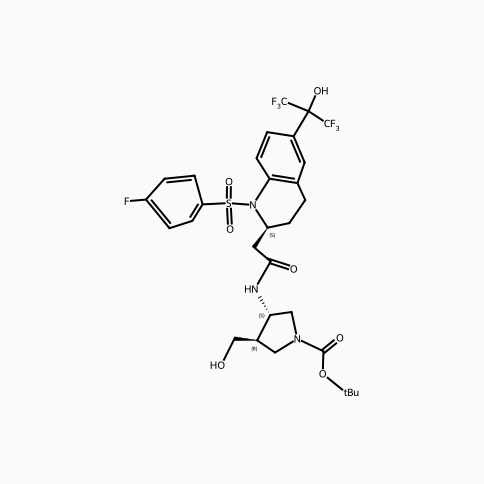 CC(C)(C)OC(=O)N1C[C@@H](CO)[C@H](NC(=O)C[C@@H]2CCc3cc(C(O)(C(F)(F)F)C(F)(F)F)ccc3N2S(=O)(=O)c2ccc(F)cc2)C1